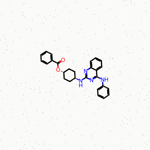 O=C(O[C@H]1CC[C@H](Nc2nc(Nc3ccccc3)c3ccccc3n2)CC1)c1ccccc1